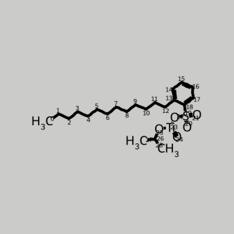 CCCCCCCCCCCCCc1ccccc1S(=O)(=O)[O][Ti](=[O])[O]C(C)C